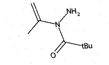 C=C(C)N(N)C(=O)C(C)(C)C